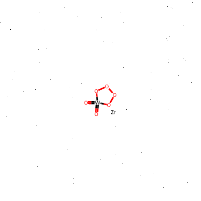 [O]=[W]1(=[O])[O]OO[O]1.[Zr]